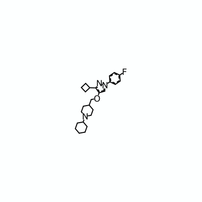 Fc1ccc(-n2cc(OCC3CCN(C4CCCCC4)CC3)c(C3CCC3)n2)cc1